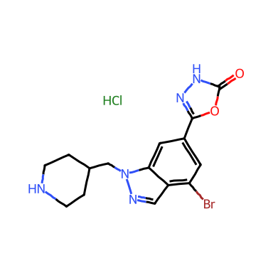 Cl.O=c1[nH]nc(-c2cc(Br)c3cnn(CC4CCNCC4)c3c2)o1